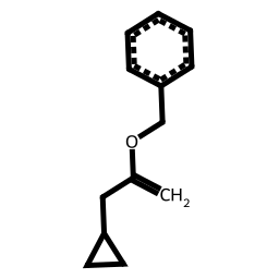 C=C(CC1CC1)OCc1ccccc1